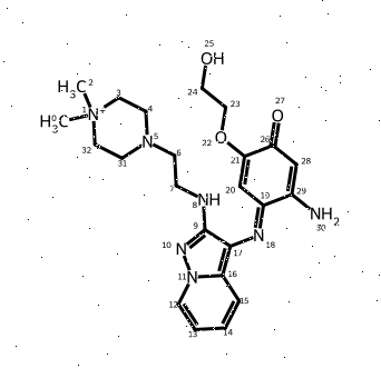 C[N+]1(C)CCN(CCNc2nn3ccccc3c2/N=C2\C=C(OCCO)C(=O)C=C2N)CC1